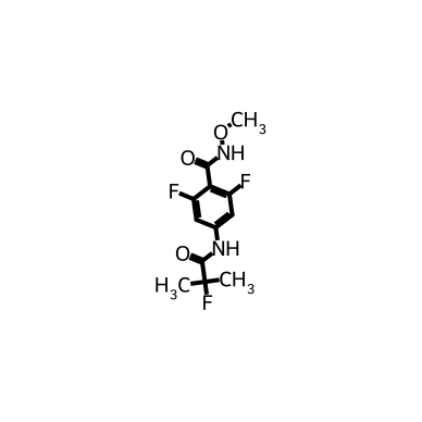 CONC(=O)c1c(F)cc(NC(=O)C(C)(C)F)cc1F